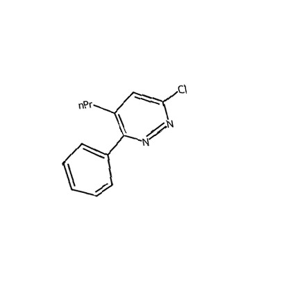 CCCc1cc(Cl)nnc1-c1ccccc1